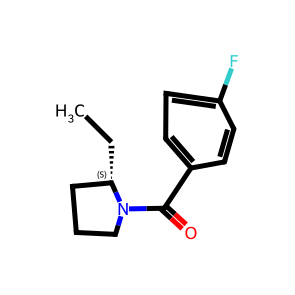 CC[C@H]1CCCN1C(=O)c1ccc(F)cc1